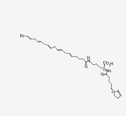 CCC=CCC=CCC=CCC=CCC=CCCCC(=O)NCCC[C@H](NC(=O)CCCC[C@@H]1CCSS1)C(=O)O